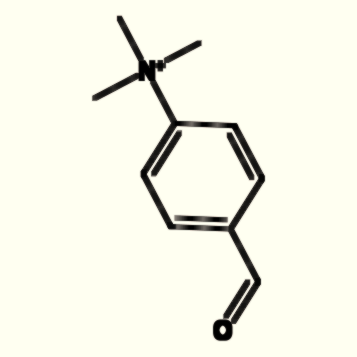 C[N+](C)(C)c1ccc(C=O)cc1